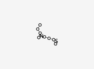 c1ccc(-c2cccc(-c3ccc4c(c3)c3ccccc3n4-c3ccc(-c4ccc(-c5ccc6sc7ccccc7c6c5)cc4)cc3)c2)cc1